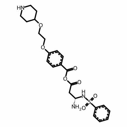 N[C@H](CC(=O)OC(=O)c1ccc(OCCOC2CCNCC2)cc1)NS(=O)(=O)c1ccccc1